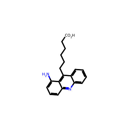 Nc1cccc2nc3ccccc3c(CCCCCC(=O)O)c12